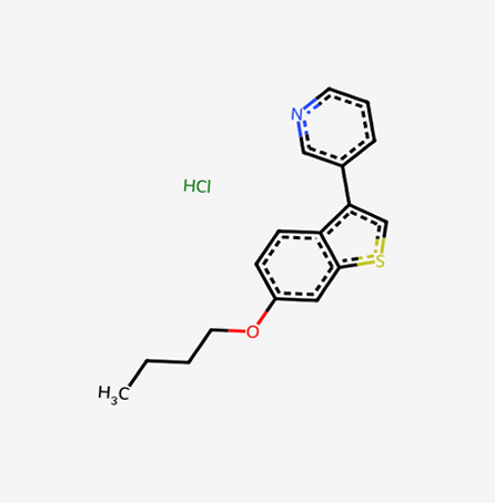 CCCCOc1ccc2c(-c3cccnc3)csc2c1.Cl